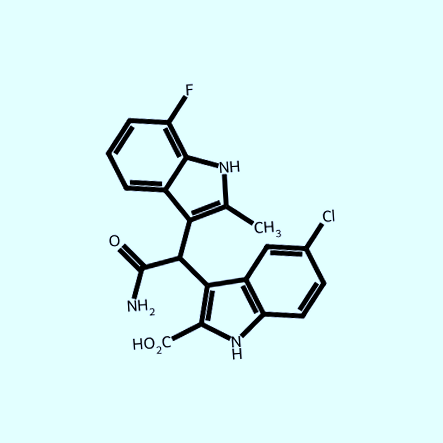 Cc1[nH]c2c(F)cccc2c1C(C(N)=O)c1c(C(=O)O)[nH]c2ccc(Cl)cc12